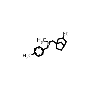 CCC1CC2CCC(CN(C)Cc3ccc(C)cc3)(C1)C2